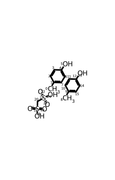 Cc1ccc(O)cc1.Cc1ccc(O)cc1.O=S(=O)(O)CS(=O)(=O)O